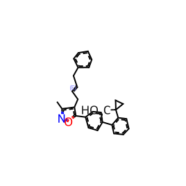 Cc1noc(-c2ccc(-c3ccccc3C3(C(=O)O)CC3)cc2)c1C/C=C/Cc1ccccc1